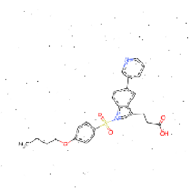 CCCCOc1ccc(S(=O)(=O)n2cc(CCC(=O)O)c3cc(-c4cccnc4)ccc32)cc1